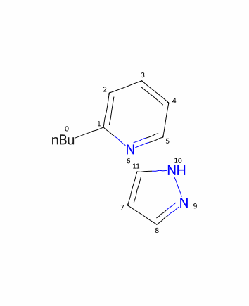 CCCCc1ccccn1.c1cn[nH]c1